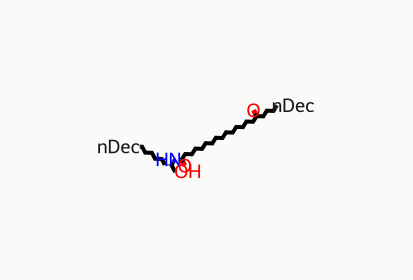 CCCCCCCCCCCCCCCC[C@@H](CO)NC(=O)CCCCCCCCCCCCCCC(=O)CCCCCCCCCCCCC